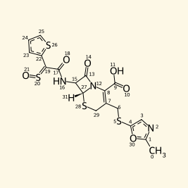 Cc1ncc(SCC2=C(C(=O)O)N3C(=O)C(NC(=O)C(=S=O)c4cccs4)[C@H]3SC2)o1